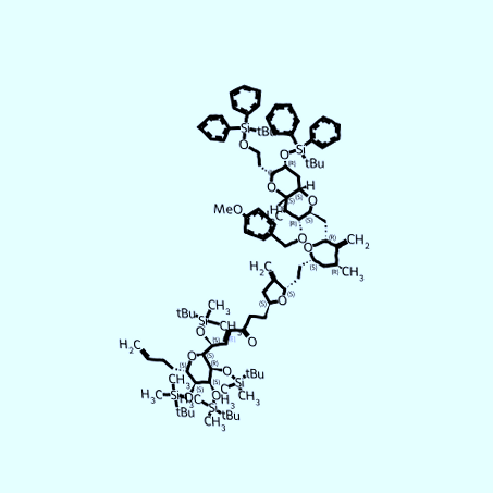 C=CCC[C@@H]1O[C@@H]([C@H](/C=C/C(=O)CC[C@H]2CC(=C)[C@H](CC[C@H]3C[C@@H](C)C(=C)[C@@H](C[C@@H]4O[C@H]5C[C@@H](O[Si](c6ccccc6)(c6ccccc6)C(C)(C)C)[C@@H](CCO[Si](c6ccccc6)(c6ccccc6)C(C)(C)C)O[C@H]5[C@H](C)[C@H]4OCc4ccc(OC)cc4)O3)O2)O[Si](C)(C)C(C)(C)C)[C@@H](O[Si](C)(C)C(C)(C)C)[C@@H](O[Si](C)(C)C(C)(C)C)[C@H]1O[Si](C)(C)C(C)(C)C